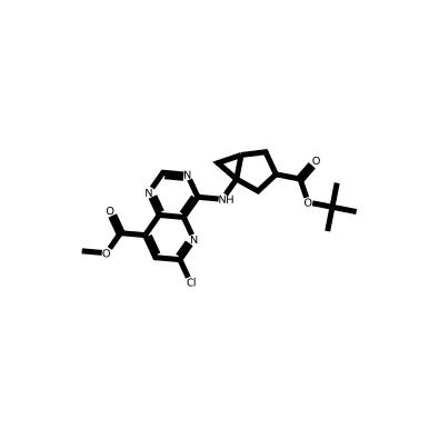 COC(=O)c1cc(Cl)nc2c(NC34CC(C(=O)OC(C)(C)C)CC3C4)ncnc12